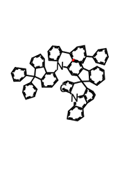 c1ccc(-c2ccc(-c3ccccc3N(c3ccc4c(c3)C3(c5ccccc5-4)c4ccccc4-n4c5ccccc5c5cccc3c54)c3cccc4c3-c3ccccc3C4(c3ccccc3)c3ccccc3)cc2)cc1